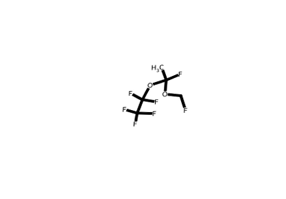 CC(F)(OCF)OC(F)(F)C(F)(F)F